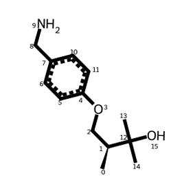 C[C@@H](COc1ccc(CN)cc1)C(C)(C)O